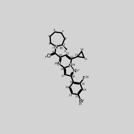 C[C@@H]1CCCCCN1C(=O)c1cc(C2CC2)n2nc(-c3ccc(Br)cc3F)cc2n1